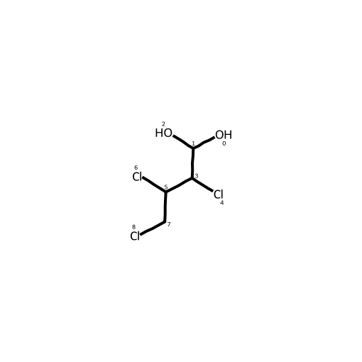 OC(O)C(Cl)C(Cl)CCl